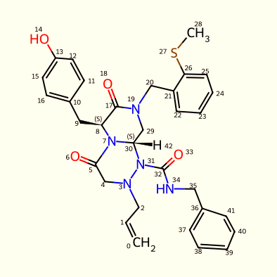 C=CCN1CC(=O)N2[C@@H](Cc3ccc(O)cc3)C(=O)N(Cc3ccccc3SC)C[C@@H]2N1C(=O)NCc1ccccc1